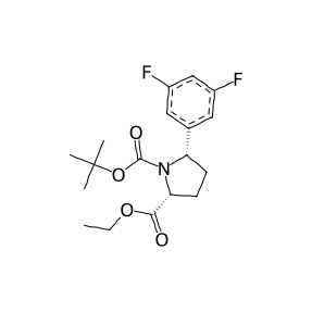 CCOC(=O)[C@H]1CC[C@@H](c2cc(F)cc(F)c2)N1C(=O)OC(C)(C)C